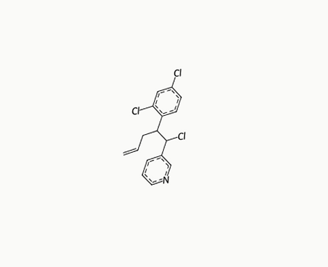 C=CCC(c1ccc(Cl)cc1Cl)C(Cl)c1cccnc1